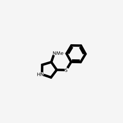 C[N]C1CNCC1Sc1ccccc1